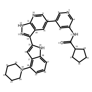 O=C(Nc1cncc(-c2cnc3[nH]nc(-c4cc5c(N6CCCCC6)cccc5[nH]4)c3c2)c1)C1CCCC1